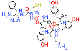 CCC(C)C(NC(=O)/N=C(/CS)NC(=O)Cn1nc(-c2ccccc2)c2c(N)ncnc21)C(=O)C(Cc1ccc(O)cc1)C(=O)NC(CCCCN)C(=O)NC(Cc1ccc(O)cc1)C(=O)NC(Cc1ccc(O)cc1)C(C)=O